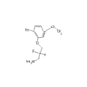 CCc1ccc(OC(F)(F)F)cc1OCC(F)(F)CN